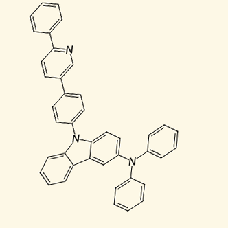 c1ccc(-c2ccc(-c3ccc(-n4c5ccccc5c5cc(N(c6ccccc6)c6ccccc6)ccc54)cc3)cn2)cc1